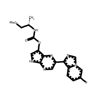 COC[C@H](C)NC(=O)Oc1c[nH]c2ncc(-c3ncn4cc(F)ccc34)nc12